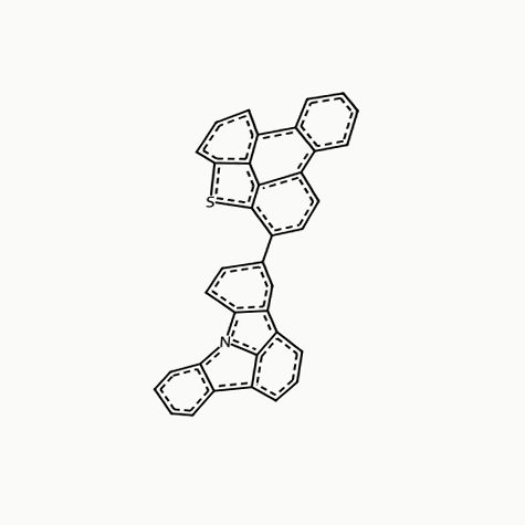 c1ccc2c(c1)c1cccc3sc4c(-c5ccc6c(c5)c5cccc7c8ccccc8n6c75)ccc2c4c31